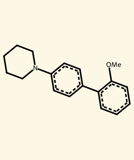 COc1ccccc1-c1ccc(N2CCCCC2)cc1